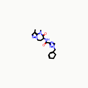 Cc1cnn2c1N(C)C(=O)C(NC(=O)c1ncn(CC3=CC=CCC3)n1)CC2